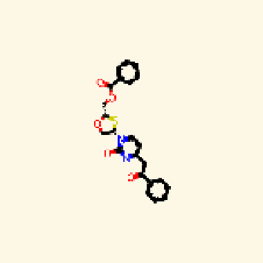 O=C(Cc1ccn([C@@H]2CO[C@H](COC(=O)c3ccccc3)S2)c(=O)n1)c1ccccc1